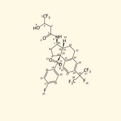 O=C(CC(O)C(F)(F)F)N[C@@H]1CC[C@@]2(S(=O)(=O)c3ccc(F)cc3)c3ccc(C(F)(C(F)(F)F)C(F)(F)F)cc3CC[C@@H]12